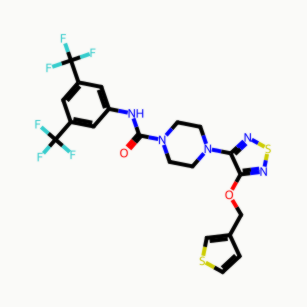 O=C(Nc1cc(C(F)(F)F)cc(C(F)(F)F)c1)N1CCN(c2nsnc2OCc2ccsc2)CC1